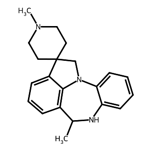 CC1Nc2ccccc2N2CC3(CCN(C)CC3)c3cccc1c32